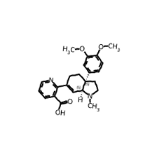 COc1ccc([C@@]23CCC(c4ncccc4C(=O)O)=C[C@@H]2N(C)CC3)cc1OC